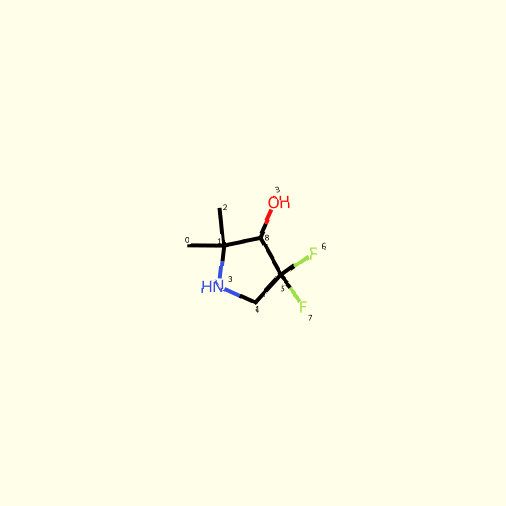 CC1(C)NCC(F)(F)C1O